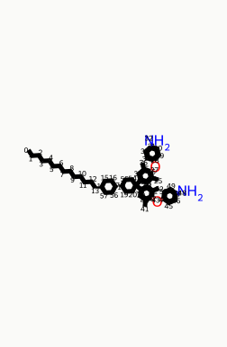 CCCCCCCCCCCCCC[C@H]1CC[C@H](C2CCC(c3cc(C)c(Oc4ccc(N)cc4)c(C)c3)(c3cc(C)c(Oc4ccc(N)cc4)c(C)c3)CC2)CC1